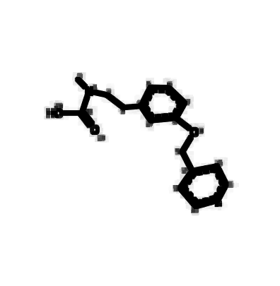 CN(CCc1cccc(OCc2ccccc2)c1)C(=O)O